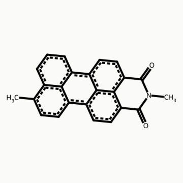 Cc1ccc2c3ccc4c5c(ccc(c6cccc1c62)c53)C(=O)N(C)C4=O